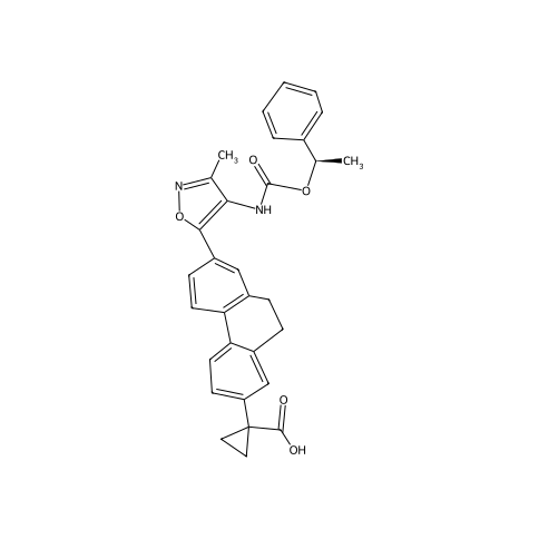 Cc1noc(-c2ccc3c(c2)CCc2cc(C4(C(=O)O)CC4)ccc2-3)c1NC(=O)O[C@H](C)c1ccccc1